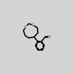 O=Cc1ccccc1C1CCCCCCCC1